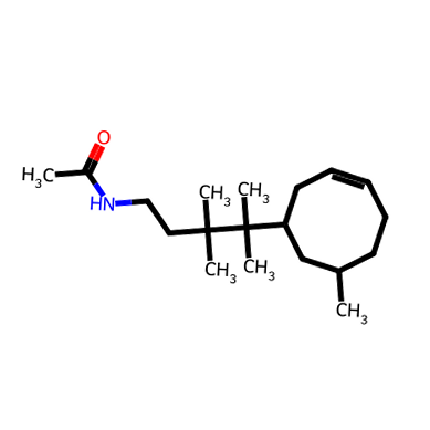 CC(=O)NCCC(C)(C)C(C)(C)C1C/C=C\CCC(C)C1